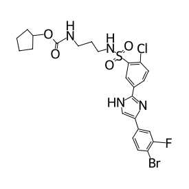 O=C(NCCCNS(=O)(=O)c1cc(-c2nc(-c3ccc(Br)c(F)c3)c[nH]2)ccc1Cl)OC1CCCC1